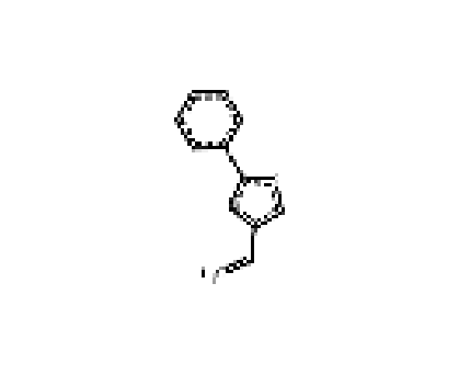 C=Cc1csc(-c2ccccc2)c1